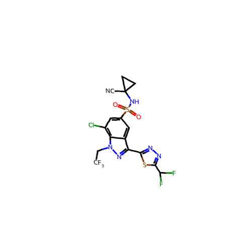 N#CC1(NS(=O)(=O)c2cc(Cl)c3c(c2)c(-c2nnc(C(F)F)s2)nn3CC(F)(F)F)CC1